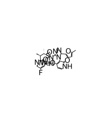 COc1cc[nH]c(=O)c1-n1c(NS(=O)(=O)[C@@H](C)[C@H](C)c2ncc(F)cn2)nnc1-c1ccc(C)o1